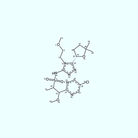 COCCn1c(NS(=O)(=O)C(C)C(OC)c2ncc(Cl)cn2)nnc1[C@@H]1CCC(C)(C)O1